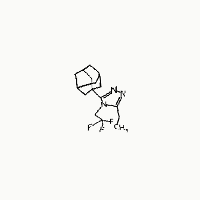 CCc1nnc(C23CC4CC(CC(C4)C2)C3)n1CC(F)(F)F